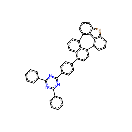 c1ccc(-c2nc(-c3ccccc3)nc(-c3ccc(-c4ccc5c6c(cccc46)-c4cccc6sc7cccc-5c7c46)cc3)n2)cc1